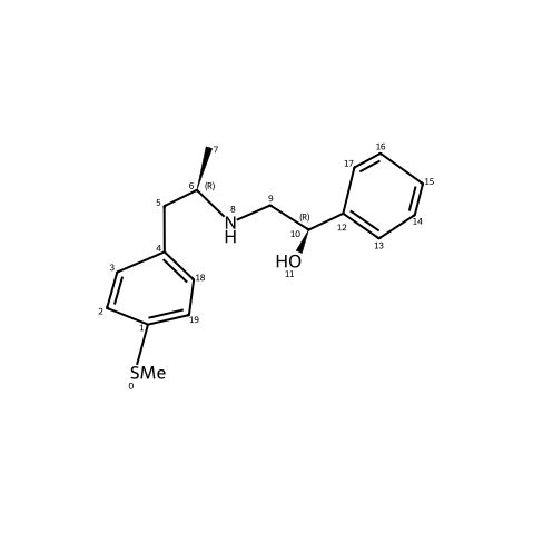 CSc1ccc(C[C@@H](C)NC[C@H](O)c2ccccc2)cc1